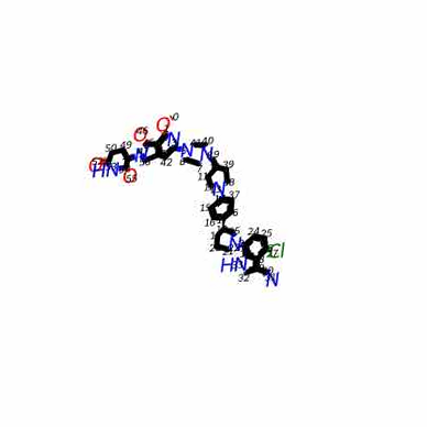 COc1nc(N2CCN(CC3CCN(c4ccc([C@@H]5CCCN(c6ccc(Cl)c7c(C#N)c[nH]c67)C5)cc4)CC3)CC2)cc2c1C(=O)N(C1CCC(=O)NC1=O)C2